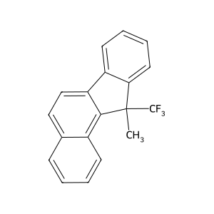 CC1(C(F)(F)F)c2ccccc2-c2ccc3ccccc3c21